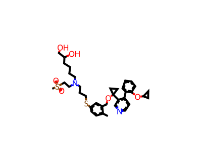 Cc1ccc(SCCCN(CCCCC(O)CO)CCS(C)(=O)=O)cc1COC1(c2cnccc2-c2ccccc2OC2CC2)CC1